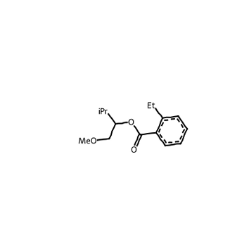 CCc1ccccc1C(=O)OC(COC)C(C)C